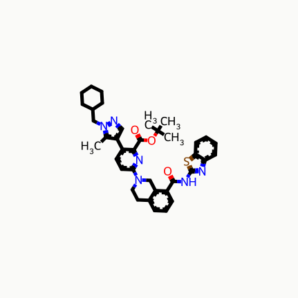 Cc1c(-c2ccc(N3CCc4cccc(C(=O)Nc5nc6ccccc6s5)c4C3)nc2C(=O)OC(C)(C)C)cnn1CC1CCCCC1